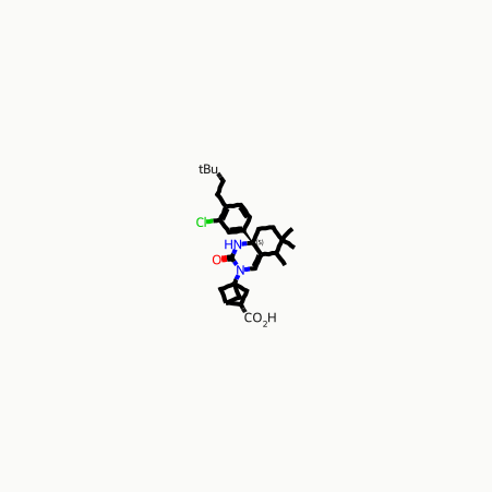 CC1C2=CN(C34CC(C3)C(C(=O)O)C4)C(=O)N[C@]2(c2ccc(CCC(C)(C)C)c(Cl)c2)CCC1(C)C